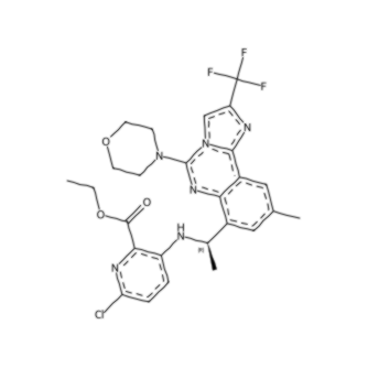 CCOC(=O)c1nc(Cl)ccc1N[C@H](C)c1cc(C)cc2c1nc(N1CCOCC1)n1cc(C(F)(F)F)nc21